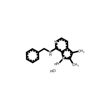 CCCn1c(C)c(C)c2ccnc(NCc3ccccc3)c21.Cl